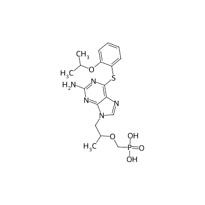 CC(C)Oc1ccccc1Sc1nc(N)nc2c1ncn2CC(C)OCP(=O)(O)O